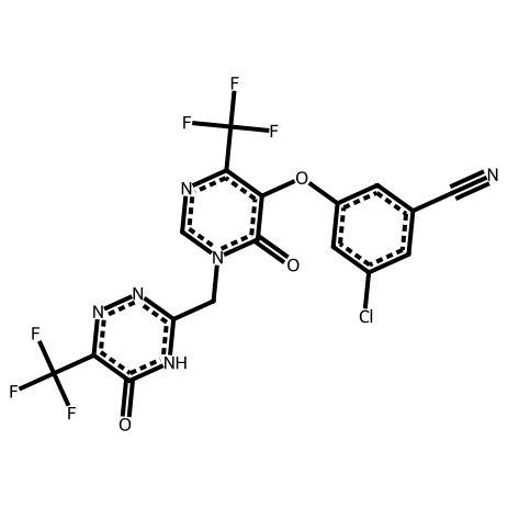 N#Cc1cc(Cl)cc(Oc2c(C(F)(F)F)ncn(Cc3nnc(C(F)(F)F)c(=O)[nH]3)c2=O)c1